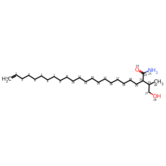 C=CCCCCCCCCCCCCCCCCCCCC(C(N)=O)C(C)CO